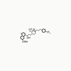 COc1ccc2nccc([C@H](O)CC[C@@H]3CCN(CCCc4ccc(C(F)(F)F)cc4)C[C@@H]3CC(=O)O)c2c1